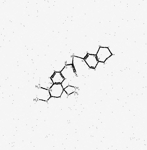 CSC1CC(SC)(SC)c2cc(NC(=S)Nc3ccc4c(c3)CCCC4)ccc2[SH]1C